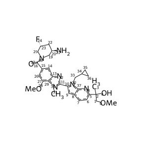 COCC(C)(O)c1ccc2cc(-c3nc4cc(C(=O)N5C[C@H](N)C[C@@H](F)C5)cc(OC)c4n3C)n(CC3CC3)c2n1